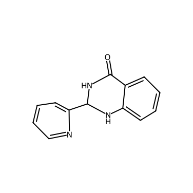 O=C1NC(c2ccccn2)Nc2ccccc21